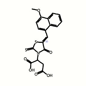 COc1ccc(/C=C2\SC(=S)N(C(CC(=O)O)C(=O)O)C2=O)c2ccccc12